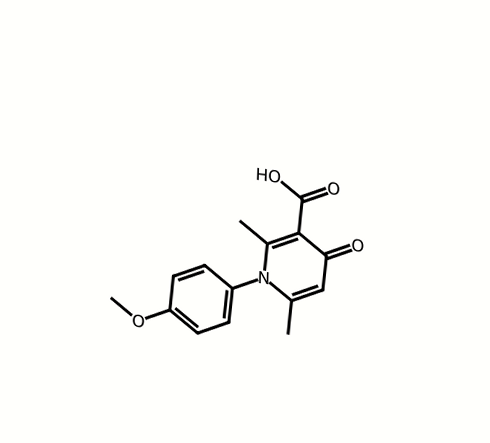 COc1ccc(-n2c(C)cc(=O)c(C(=O)O)c2C)cc1